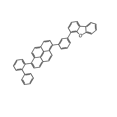 c1ccc(-c2ccccc2-c2ccc3ccc4c(-c5cccc(-c6cccc7c6oc6ccccc67)c5)ccc5ccc2c3c54)cc1